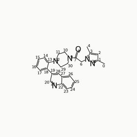 Cc1cc(C)n(CC(=O)N2CCN(c3ccccc3-c3cnc4ccccc4c3)CC2)n1